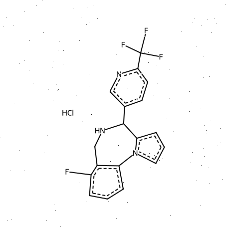 Cl.Fc1cccc2c1CNC(c1ccc(C(F)(F)F)nc1)c1cccn1-2